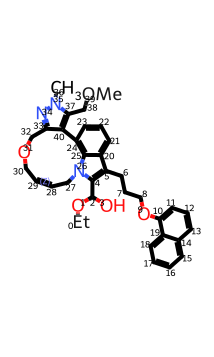 CCOC(O)c1c(CCCOc2cccc3ccccc23)c2cccc3c2n1C/C=C\COCc1nn(C)c(COC)c1-3